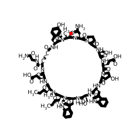 CCCC[C@H]1C(=O)N(C)[C@@H](CCCC)C(=O)N[C@@H](CCC(=O)O)C(=O)N[C@H](C(=O)NCC(N)=O)CSCC(=O)N[C@@H](Cc2ccc(O)cc2)C(=O)N(C)[C@@H](C)C(=O)N[C@@H](CC(N)=O)C(=O)N2CCC[C@H]2C(=O)N[C@@H](CO)C(=O)N[C@@H](CCC(=O)O)C(=O)N2C[C@H](O)C[C@H]2C(=O)N[C@@H](Cc2c[nH]c3ccccc23)C(=O)N[C@@H](CO)C(=O)N[C@@H](Cc2c[nH]c3ccccc23)C(=O)N1C